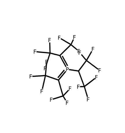 FC(F)(F)C(=P(=C(C(F)(F)F)C(F)(F)F)C(C(F)(F)F)C(F)(F)F)C(F)(F)F